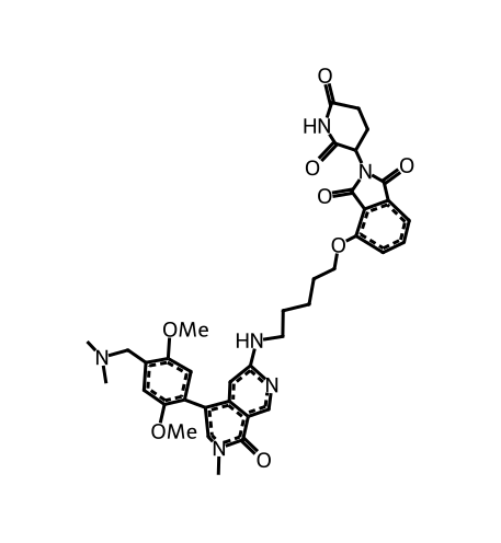 COc1cc(-c2cn(C)c(=O)c3cnc(NCCCCCOc4cccc5c4C(=O)N(C4CCC(=O)NC4=O)C5=O)cc23)c(OC)cc1CN(C)C